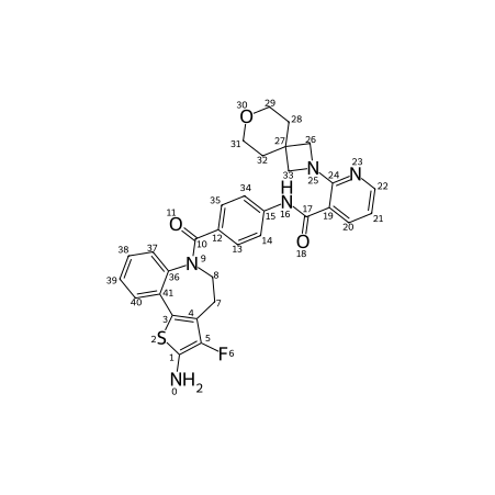 Nc1sc2c(c1F)CCN(C(=O)c1ccc(NC(=O)c3cccnc3N3CC4(CCOCC4)C3)cc1)c1ccccc1-2